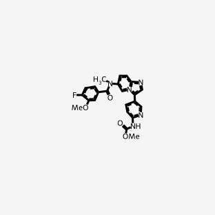 COC(=O)Nc1ccc(-c2cnc3ccc(N(C)C(=O)c4ccc(F)c(OC)c4)cn23)cn1